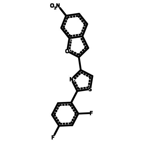 O=[N+]([O-])c1ccc2cc(-c3csc(-c4ccc(F)cc4F)n3)oc2c1